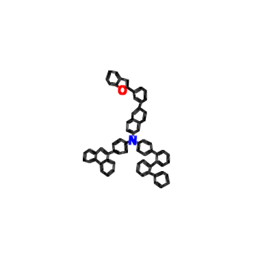 c1ccc(-c2ccccc2-c2ccccc2-c2ccc(N(c3ccc(-c4cc5ccccc5c5ccccc45)cc3)c3ccc4cc(-c5cccc(-c6cc7ccccc7o6)c5)ccc4c3)cc2)cc1